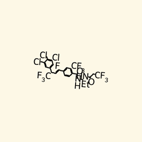 CC[C@H](NC(=O)CC(F)(F)F)NC(=O)c1ccc(/C(F)=C/C(c2cc(Cl)c(Cl)c(Cl)c2)C(F)(F)F)cc1C(F)(F)F